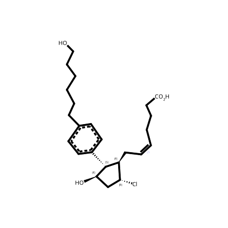 O=C(O)CCC/C=C\C[C@@H]1[C@@H](c2ccc(CCCCCCO)cc2)[C@H](O)C[C@H]1Cl